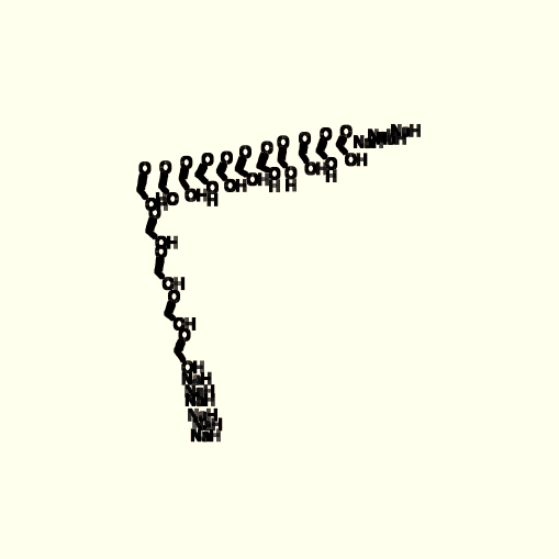 O=CO.O=CO.O=CO.O=CO.O=CO.O=CO.O=CO.O=CO.O=CO.O=CO.O=CO.O=CO.O=CO.O=CO.O=CO.[NaH].[NaH].[NaH].[NaH].[NaH].[NaH].[NaH].[NaH].[NaH].[NaH]